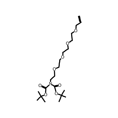 C=CCOCCOCCOCCOCCN(C(=O)OC(C)(C)C)C(=O)OC(C)(C)C